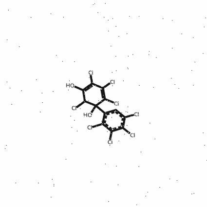 OC1=C(Cl)C(Cl)=C(Cl)C(O)(c2cc(Cl)c(Cl)c(Cl)c2Cl)C1Cl